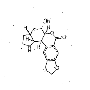 O=C1O[C@@H]2[C@@H](c3cc4c(cc31)OCO4)[C@@H]1NCC[C@@H]1C[C@@H]2O